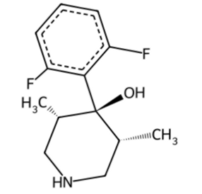 C[C@@H]1CNC[C@H](C)[C@]1(O)c1c(F)cccc1F